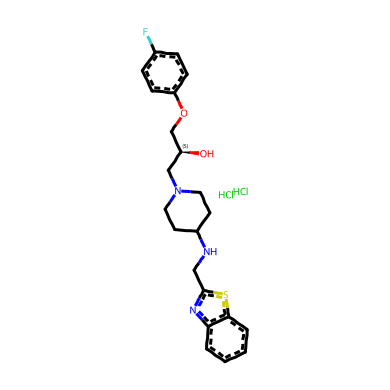 Cl.Cl.O[C@H](COc1ccc(F)cc1)CN1CCC(NCc2nc3ccccc3s2)CC1